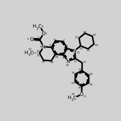 COC(=O)N1c2ccc3c(nc(Cc4ccc(OC)cc4)n3C3CCCCC3)c2CC[C@@H]1C